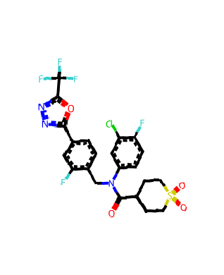 O=C(C1CCS(=O)(=O)CC1)N(Cc1ccc(-c2nnc(C(F)(F)F)o2)cc1F)c1ccc(F)c(Cl)c1